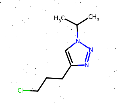 CC(C)n1cc(CCCCl)nn1